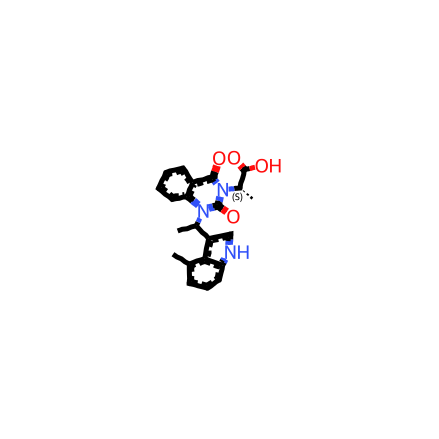 Cc1cccc2[nH]cc(C(C)n3c(=O)n([C@@H](C)C(=O)O)c(=O)c4ccccc43)c12